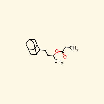 C=CC(=O)OC(C)CCC1C2CC3CC(C2)CC1C3